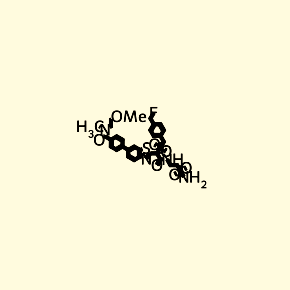 COCCN(C)C(=O)c1ccc(-c2ccc3nc(C(C(=O)NCCS(N)(=O)=O)S(=O)(=O)Cc4ccc(CF)cc4)sc3c2)cc1